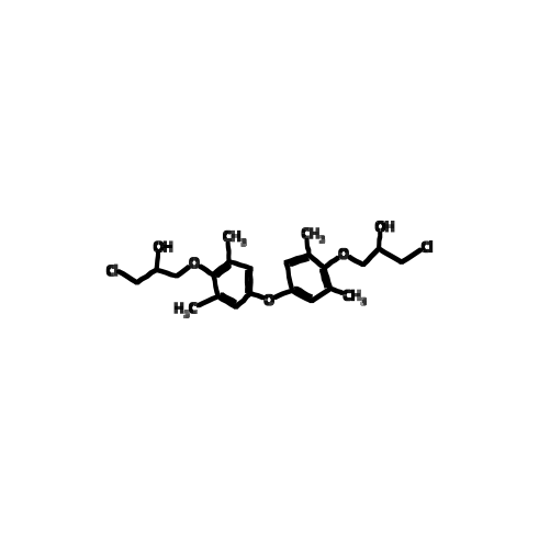 Cc1cc(Oc2cc(C)c(OCC(O)CCl)c(C)c2)cc(C)c1OCC(O)CCl